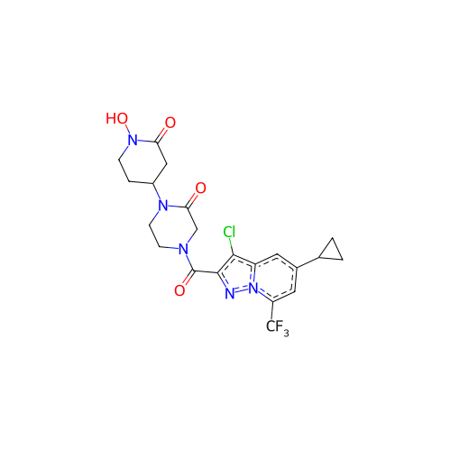 O=C1CC(N2CCN(C(=O)c3nn4c(C(F)(F)F)cc(C5CC5)cc4c3Cl)CC2=O)CCN1O